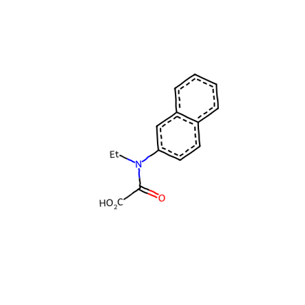 CCN(C(=O)C(=O)O)c1ccc2ccccc2c1